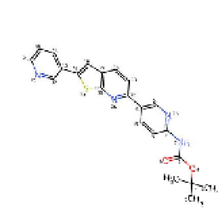 CC(C)(C)OC(=O)Nc1ccc(-c2ccc3cc(-c4cccnc4)sc3n2)cn1